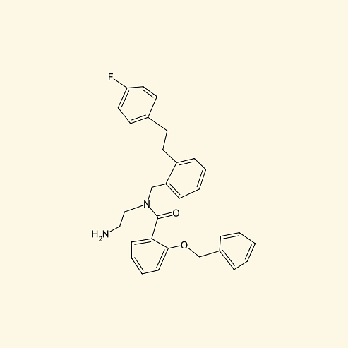 NCCN(Cc1ccccc1CCc1ccc(F)cc1)C(=O)c1ccccc1OCc1ccccc1